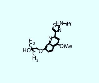 COc1cc(-c2csc(NC(C)C)n2)nc2cc(OCC(C)(C)O)ccc12